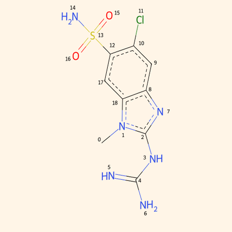 Cn1c(NC(=N)N)nc2cc(Cl)c(S(N)(=O)=O)cc21